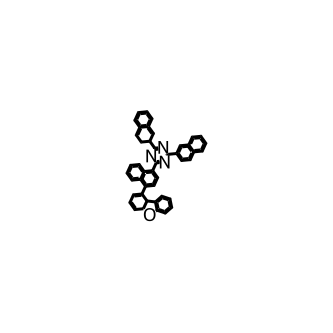 C1=CC2Oc3ccccc3C2C(c2ccc(-c3nc(-c4ccc5ccccc5c4)nc(C4C=c5ccccc5=CC4)n3)c3ccccc23)=C1